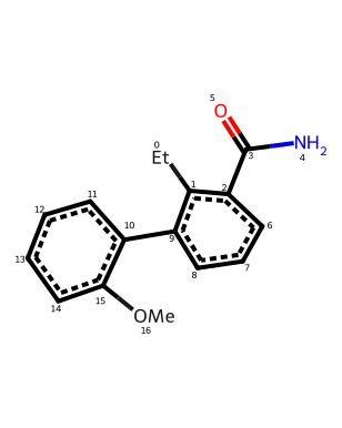 CCc1c(C(N)=O)cccc1-c1ccccc1OC